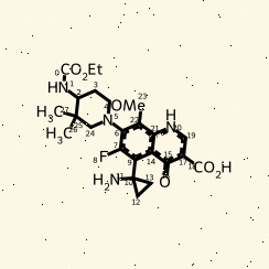 CCOC(=O)NC1CCN(c2c(F)c(C3(N)CC3)c3c(=O)c(C(=O)O)c[nH]c3c2OC)CC1(C)C